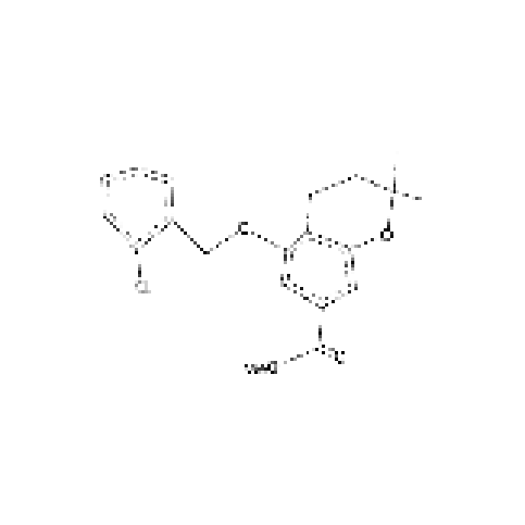 COC(=O)c1cc(OCc2ccccc2Cl)c2c(c1)OC(C)(C)CC2